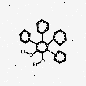 CCOc1c(OCC)c(-c2ccccc2)c(-c2ccccc2)c(-c2ccccc2)c1-c1ccccc1